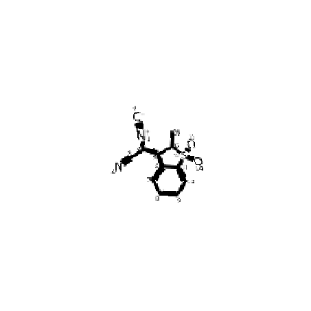 [C-]#[N+]/C(C#N)=C1/c2ccccc2S(=O)(=O)C1C